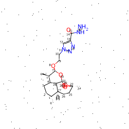 C[C@@H]1CCC2[C@@H](C)[C@@H](OCCn3cc(C(=O)NN)nn3)OC3O[C@]4(C)CC[C@@H]1[C@]32OO4